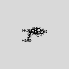 C[C@]12CCC(=O)C=C1CC[C@@H]1[C@@H]2[C@@H](O)C[C@@]2(C)[C@H]1CC[C@]2(OC(=O)CCC(=O)O)C(=O)CO